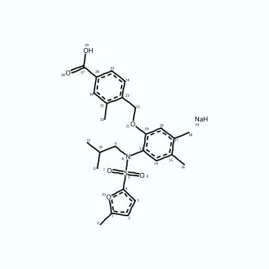 Cc1ccc(S(=O)(=O)N(CC(C)C)c2cc(C)c(C)cc2OCc2ccc(C(=O)O)cc2C)o1.[NaH]